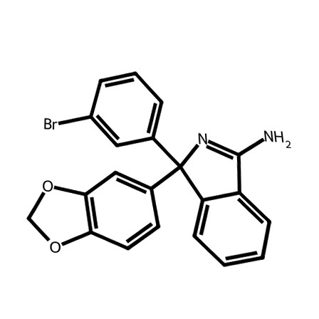 NC1=NC(c2cccc(Br)c2)(c2ccc3c(c2)OCO3)c2ccccc21